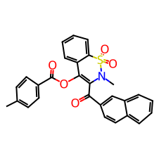 Cc1ccc(C(=O)OC2=C(C(=O)c3ccc4ccccc4c3)N(C)S(=O)(=O)c3ccccc32)cc1